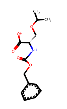 CC(C)OC[C@H](NC(=O)OCc1ccccc1)C(=O)O